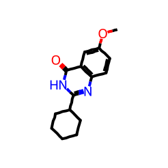 COc1ccc2nc(C3CCCCC3)[nH]c(=O)c2c1